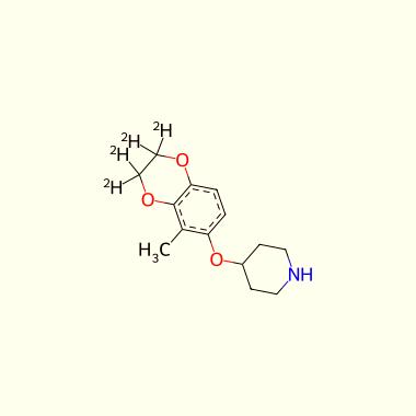 [2H]C1([2H])Oc2ccc(OC3CCNCC3)c(C)c2OC1([2H])[2H]